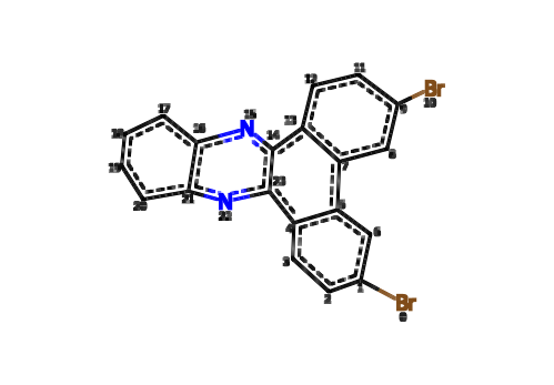 Brc1ccc2c(c1)c1cc(Br)ccc1c1nc3ccccc3nc21